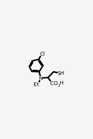 CCN(c1cccc(Cl)c1)C(CS)C(=O)O